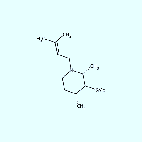 CSC1[C@H](C)CCN(CC=C(C)C)[C@@H]1C